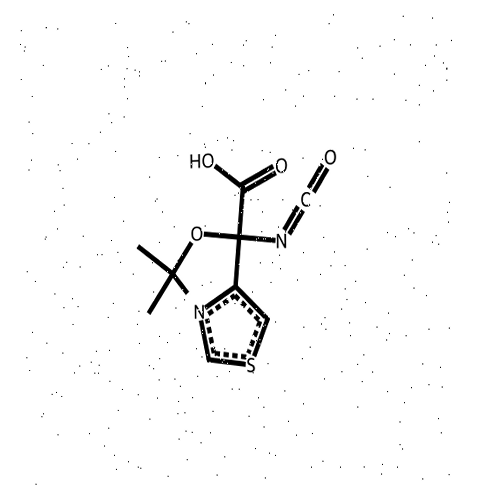 CC(C)(C)OC(N=C=O)(C(=O)O)c1cscn1